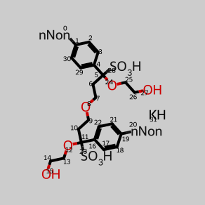 CCCCCCCCCc1ccc(C(CCOCCC(OCCO)(c2ccc(CCCCCCCCC)cc2)S(=O)(=O)O)(OCCO)S(=O)(=O)O)cc1.[KH]